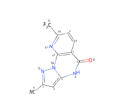 N#Cc1cc2[nH]c(=O)c3ccc(C(F)(F)F)nc3n2n1